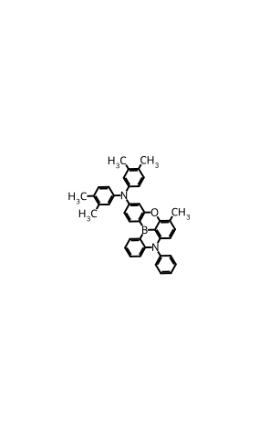 Cc1ccc(N(c2ccc(C)c(C)c2)c2ccc3c(c2)Oc2c(C)ccc4c2B3c2ccccc2N4c2ccccc2)cc1C